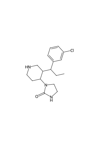 CCC(c1cccc(Cl)c1)C1CNCCC1N1CCNC1=O